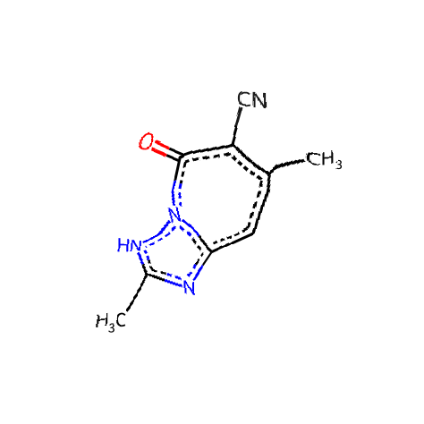 Cc1nc2cc(C)c(C#N)c(=O)n2[nH]1